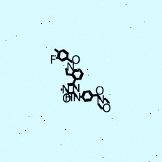 Cc1ccc(C(=O)N2CCc3c(-c4cn(C)c(=O)c(Nc5ccc(C(=O)N6CCOCC6)cc5)n4)cccc32)cc1F